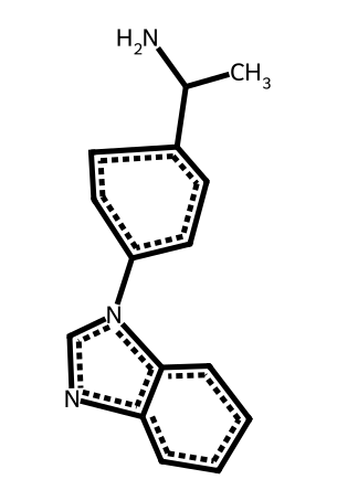 CC(N)c1ccc(-n2cnc3ccccc32)cc1